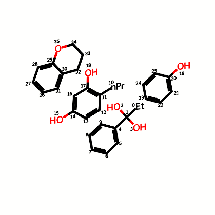 CCC(O)(O)c1ccccc1.CCCc1ccc(O)cc1O.Oc1ccccc1.c1ccc2c(c1)CCCO2